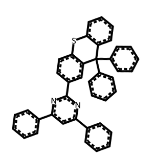 c1ccc(-c2cc(-c3ccccc3)nc(-c3ccc4c(c3)C(c3ccccc3)(c3ccccc3)c3ccccc3S4)n2)cc1